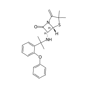 C=C1N2C(=O)[C@@H](NC(C)(C)c3ccccc3Oc3ccccc3)[C@H]2SC1(C)C